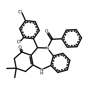 CC1(C)CC(=O)C2=C(C1)Nc1ccccc1N(C(=O)c1ccccc1)C2c1ccc(Cl)cc1Cl